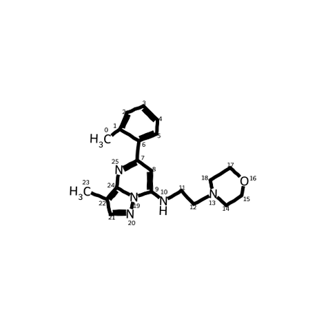 Cc1ccccc1-c1cc(NCCN2CCOCC2)n2ncc(C)c2n1